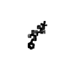 CC(C)(C)OC(=O)NCC[C@H](OCc1ccccc1)C(=O)O